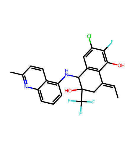 CC=C1CC(O)(C(F)(F)F)C(Nc2cccc3nc(C)ccc23)c2cc(Cl)c(F)c(O)c21